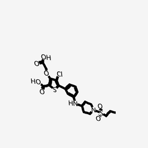 CCCS(=O)(=O)N1CCC(Nc2cccc(-c3sc(C(=O)O)c(OCC(=O)O)c3Cl)c2)CC1